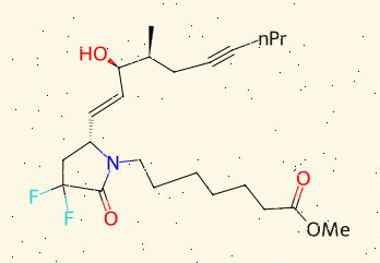 CCCC#CC[C@H](C)[C@H](O)/C=C/[C@H]1CC(F)(F)C(=O)N1CCCCCCC(=O)OC